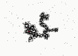 c1ccc(-c2nc(-c3ccc(-c4cnccc4-c4cccc(-c5nc(-c6ccc(-c7cccnc7)cc6)cc(-c6ccc(-c7ccc8c9ccccc9n(-c9ccccc9)c8c7)c7ccccc67)n5)c4)cc3)cc(-c3ccc(-c4cccc5c4c4ccccc4n5-c4ccccc4)c4ccccc34)n2)cc1